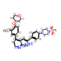 CS(=O)(=O)N1CCN(c2ccc(-c3cc4c(-c5ccc(OC6CCOCC6)c(C#N)c5)ccnc4[nH]3)cc2)CC1